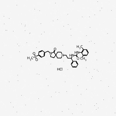 Cc1cccc(C)c1NC(=O)NC(CCN1CCC2(CC1)CCN(Cc1ccc(S(C)(=O)=O)cc1)C2=O)c1ccccc1.Cl